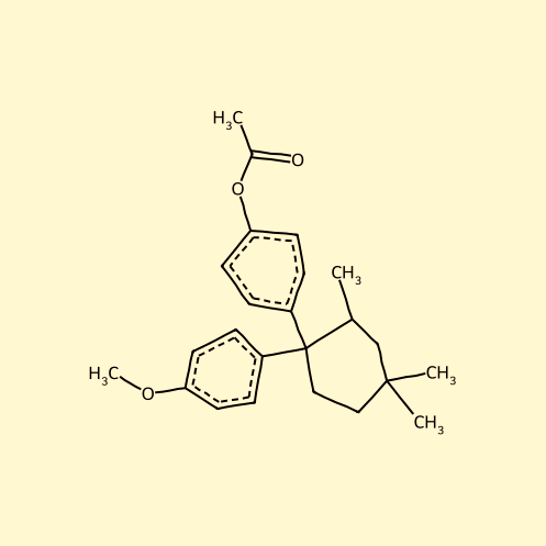 COc1ccc(C2(c3ccc(OC(C)=O)cc3)CCC(C)(C)CC2C)cc1